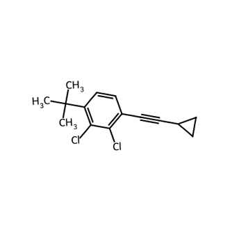 CC(C)(C)c1ccc(C#CC2CC2)c(Cl)c1Cl